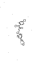 O=C(NCCOc1ncc(N2CCOCC2)cn1)c1ccc(Cl)cc1